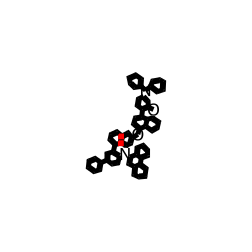 C1=CC2C(Oc3cccc(N(c4ccc(-c5ccccc5)cc4-c4ccccc4)c4cc5ccccc5c5ccccc45)c3)=CC=C3c4ccc(N(c5ccccc5)c5ccccc5)cc4OC(=C1)C32